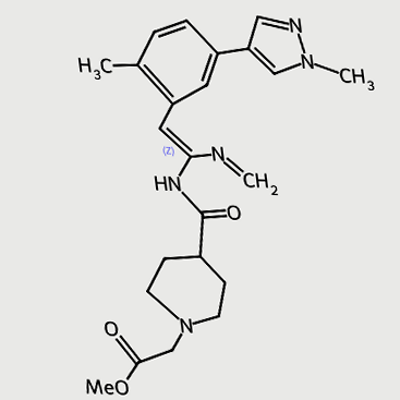 C=N/C(=C\c1cc(-c2cnn(C)c2)ccc1C)NC(=O)C1CCN(CC(=O)OC)CC1